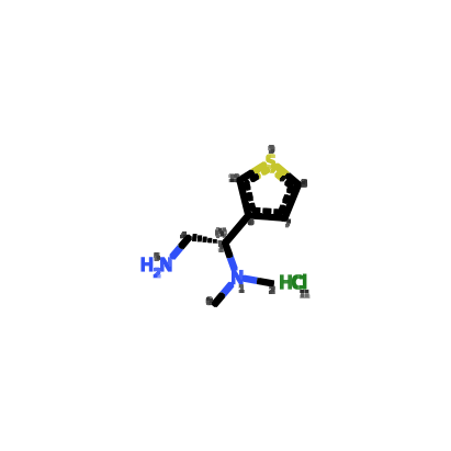 CN(C)[C@H](CN)c1ccsc1.Cl